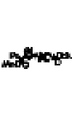 COC(=O)C(c1cc(N2CC3(CCN(C(=O)OC(C)(C)C)CC3)C2)no1)C(C)C